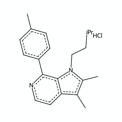 Cc1ccc(-c2nccc3c(C)c(C)n(CCC(C)C)c23)cc1.Cl